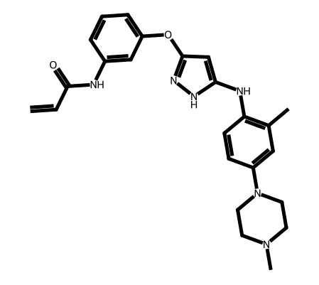 C=CC(=O)Nc1cccc(Oc2cc(Nc3ccc(N4CCN(C)CC4)cc3C)[nH]n2)c1